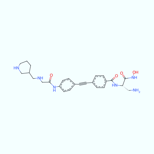 NC[C@H](NC(=O)c1ccc(C#Cc2ccc(NC(=O)CNCC3CCCNC3)cc2)cc1)C(=O)NO